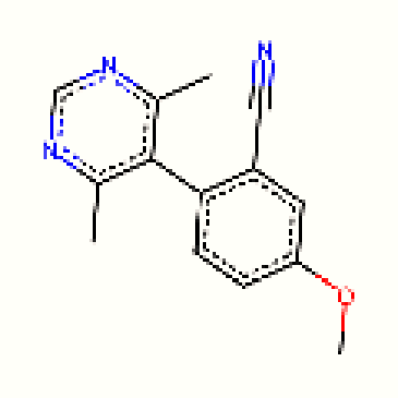 COc1ccc(-c2c(C)ncnc2C)c(C#N)c1